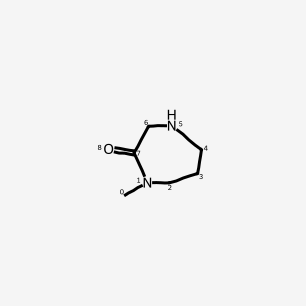 CN1CCCNCC1=O